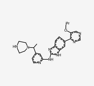 CC(C)Oc1cncnc1-c1ccc2nc(Nc3cc(C(C)N4CCNCC4)ccn3)[nH]c2c1